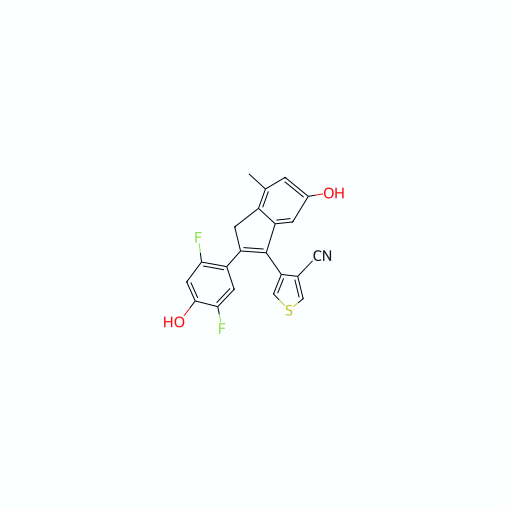 Cc1cc(O)cc2c1CC(c1cc(F)c(O)cc1F)=C2c1cscc1C#N